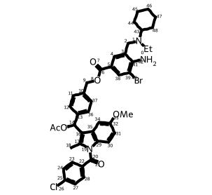 CCN(Cc1cc(C(=O)OCc2ccc(C(OC(C)=O)c3c(C)n(C(=O)c4ccc(Cl)cc4)c4ccc(OC)cc34)cc2)cc(Br)c1N)C1CCCCC1